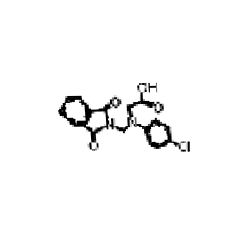 O=C(O)CN(CN1C(=O)c2ccccc2C1=O)c1ccc(Cl)cc1